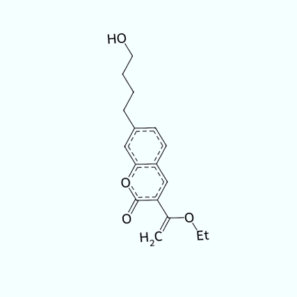 C=C(OCC)c1cc2ccc(CCCCO)cc2oc1=O